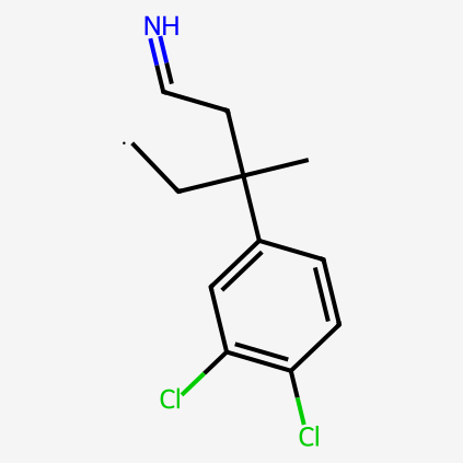 [CH2]CC(C)(CC=N)c1ccc(Cl)c(Cl)c1